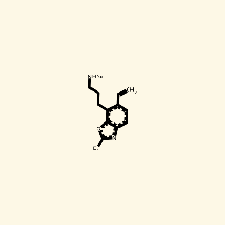 C=Cc1ccc2nc(CC)oc2c1CCCNC(C)=O